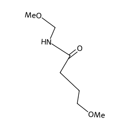 COCCCC(=O)NCOC